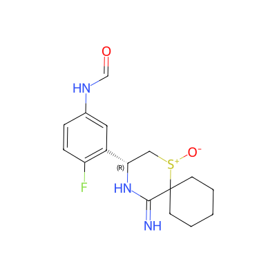 N=C1N[C@H](c2cc(NC=O)ccc2F)C[S+]([O-])C12CCCCC2